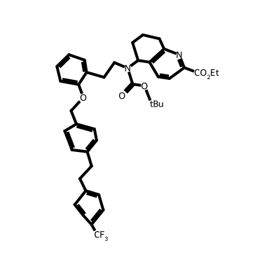 CCOC(=O)c1ccc2c(n1)CCCC2N(CCc1ccccc1OCc1ccc(CCc2ccc(C(F)(F)F)cc2)cc1)C(=O)OC(C)(C)C